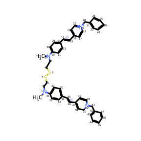 CN(CCSSCCN(C)c1ccc(/C=C/c2cc[n+](Cc3ccccc3)cc2)cc1)c1ccc(/C=C/C2=CCN(Cc3ccccc3)C=C2)cc1